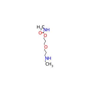 CCNCCCOCCCOC(=O)NC